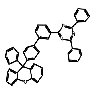 c1ccc(-c2nc(-c3ccccc3)nc(-c3cccc(-c4ccc(C5(c6ccccc6)c6ccccc6Oc6ccccc65)cc4)c3)n2)cc1